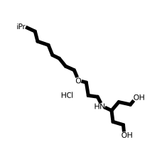 CC(C)CCCCCCCOCCCNC(CCO)CCO.Cl